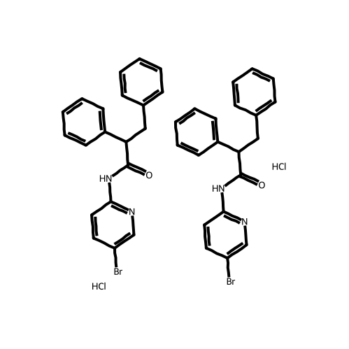 Cl.Cl.O=C(Nc1ccc(Br)cn1)C(Cc1ccccc1)c1ccccc1.O=C(Nc1ccc(Br)cn1)C(Cc1ccccc1)c1ccccc1